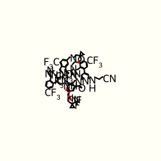 Cn1cnnc1-c1ccc(C(F)(F)F)cc1-c1cc(NCCCC#N)nc(N2Cc3c(cc(CN4CC5(CC5)OCC4Cn4cnnc4-c4ccc(C(F)(F)F)cc4-c4cc(NCCCC#N)nc(N5Cc6c(cc(CN7CC(F)(F)C8(CC8)C7)cc6C(F)(F)F)C5=O)c4)cc3C(F)(F)F)C2=O)c1